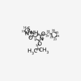 CC(C)COc1cc(C(=O)Nc2nccs2)cc(OCCc2ccccc2)n1